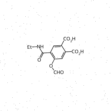 CCNC(=O)c1cc(C(=O)O)c(C(=O)O)cc1OC=O